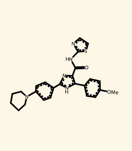 COc1ccc(-c2[nH]c(-c3ccc(N4CCCCC4)cc3)nc2C(=O)Nc2nccs2)cc1